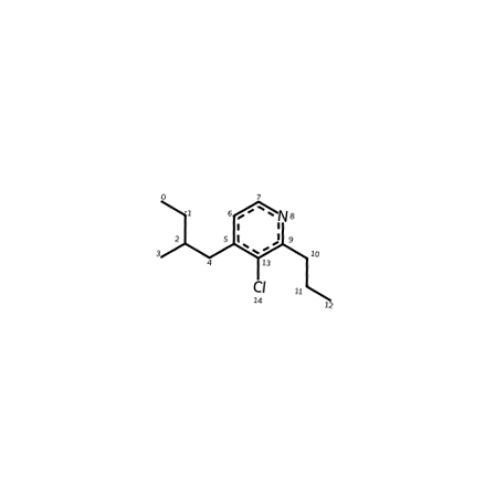 C[CH]C(C)Cc1ccnc(CCC)c1Cl